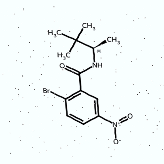 C[C@@H](NC(=O)c1cc([N+](=O)[O-])ccc1Br)C(C)(C)C